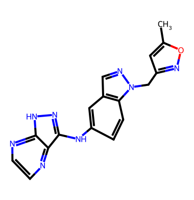 Cc1cc(Cn2ncc3cc(Nc4n[nH]c5nccnc45)ccc32)no1